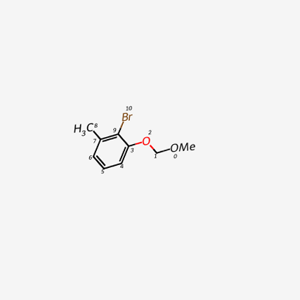 COCOc1cccc(C)c1Br